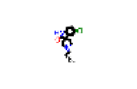 CCC(C)CCN1CCC2(CC1)C(=O)Nc1ccc(Cl)cc12